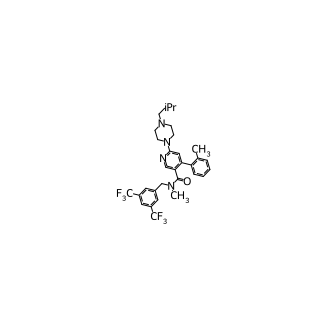 Cc1ccccc1-c1cc(N2CCN(CC(C)C)CC2)ncc1C(=O)N(C)Cc1cc(C(F)(F)F)cc(C(F)(F)F)c1